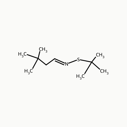 CC(C)(C)C/C=N/SC(C)(C)C